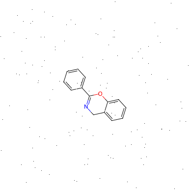 c1ccc(C2=NCc3ccccc3O2)cc1